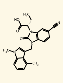 CC[C@@H](C(=O)O)n1c(=O)n(Cc2cn(C)c3cccc(C)c23)c2ccc(C#N)cc21